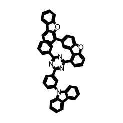 c1ccc(-c2nc(-c3cccc(-n4c5ccccc5c5ccccc54)c3)nc(-c3cccc4oc5ccc(-c6cccc7c6oc6ccccc67)cc5c34)n2)cc1